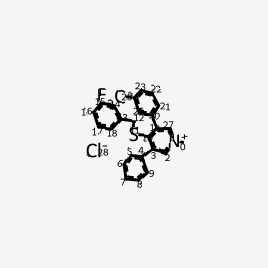 C[n+]1cc(-c2ccccc2)c(SCc2ccccc2)c(-c2cccc(C(F)(F)F)c2)c1.[Cl-]